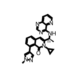 C[C@H](Nc1ncnc2cccnc12)c1cc2cccc(-c3cnn(C)c3)c2c(=O)n1C1CC1